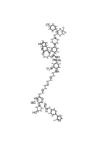 Cc1ncsc1-c1ccc(CNC(=O)[C@@H]2C[C@@H](O)CN2C(=O)[C@@H](NC(=O)CCOCCOCCOCCNc2ccc(S(=O)(=O)NC(=O)c3ccc(N4CCN(CC5=C(c6ccc(Cl)cc6)CC(C)(C)CC5)CC4)cc3N3CCCOc4nc5[nH]ccc5cc43)cc2[N+](=O)[O-])C(C)(C)C)cc1